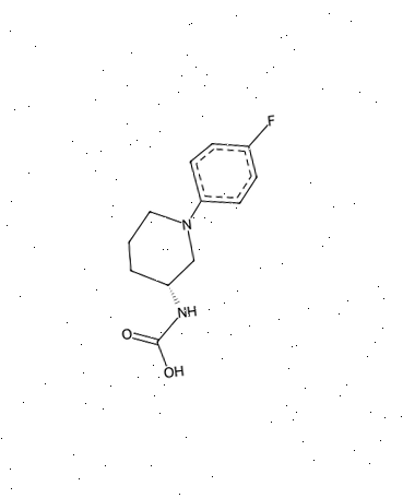 O=C(O)N[C@@H]1CCCN(c2ccc(F)cc2)C1